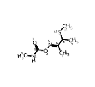 CNC(=O)O/N=C(\C)C(C)SC